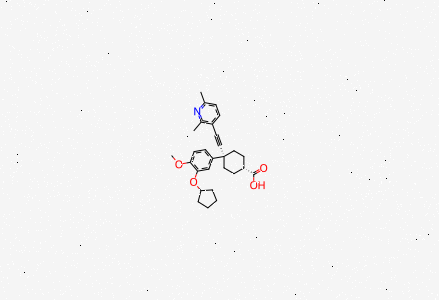 COc1ccc([C@]2(C#Cc3ccc(C)nc3C)CC[C@@H](C(=O)O)CC2)cc1OC1CCCC1